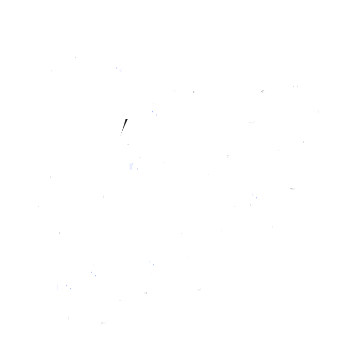 C=C(NCC1CC1)[C@H](C)NC[C@H](Cc1ccccc1)NC(=O)c1cc(C(=O)NCc2cc[nH]n2)cc(N(C)S(=O)(=O)c2ccccc2)c1